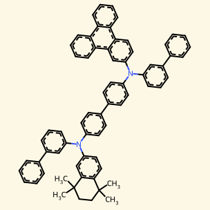 CC1(C)CCC(C)(C)c2cc(N(c3ccc(-c4ccc(N(c5cccc(-c6ccccc6)c5)c5ccc6c7ccccc7c7ccccc7c6c5)cc4)cc3)c3cccc(-c4ccccc4)c3)ccc21